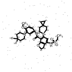 CCS(=O)(=O)Nc1cc(N2CCC3(CC2)CC3)c(C(=O)Nc2ccc(OC)c(N3CCC(F)(F)CC3)c2)c2c1CCO2